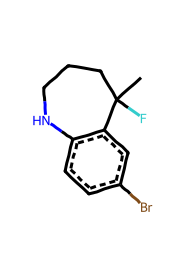 CC1(F)CCCNc2ccc(Br)cc21